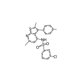 Cc1ccc(-c2c(C)sc3nc(C)cc(NS(=O)(=O)c4cccc(Cl)c4)c23)cc1